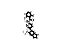 Cc1cc2c(cc1-c1ccc(NC(=O)c3c(F)cccc3F)nc1)CCC2